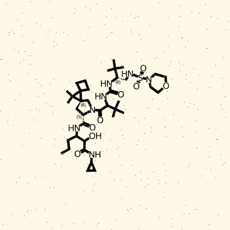 CCCC(NC(=O)[C@@H]1C[C@@]2(CN1C(=O)C(NC(=O)N[C@@H](CNS(=O)(=O)N1CCOCC1)C(C)(C)C)C(C)(C)C)C(C)(C)C21CCC1)C(O)C(=O)NC1CC1